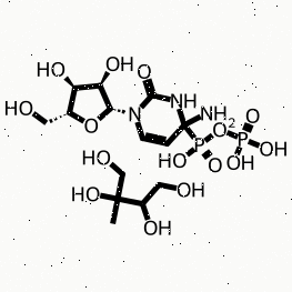 CC(O)(CO)C(O)CO.NC1(P(=O)(O)OP(=O)(O)O)C=CN([C@@H]2O[C@H](CO)[C@@H](O)[C@H]2O)C(=O)N1